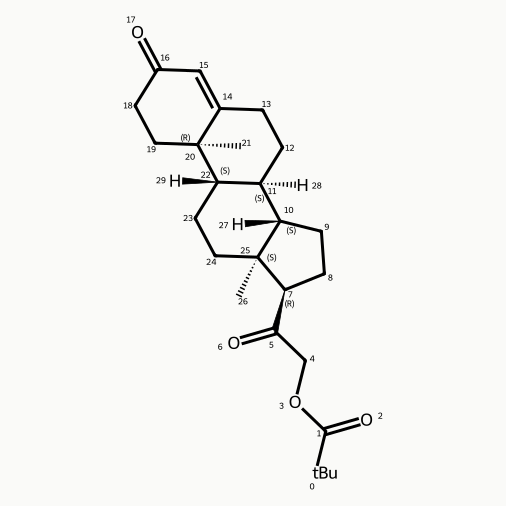 CC(C)(C)C(=O)OCC(=O)[C@@H]1CC[C@H]2[C@@H]3CCC4=CC(=O)CC[C@]4(C)[C@H]3CC[C@]12C